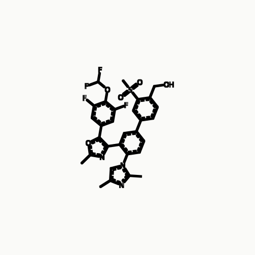 Cc1cn(-c2ccc(-c3ccc(CO)c(S(C)(=O)=O)c3)cc2-c2nc(C)oc2-c2cc(F)c(OC(F)F)c(F)c2)c(C)n1